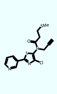 C#CCN(C(=O)CCSC)c1sc(-c2cccnc2)nc1Cl